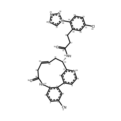 N#Cc1ccc2c(c1)-c1ccnc(c1)[C@@H](NC(=O)CCc1cc(Cl)ccc1-n1cnnn1)C/C=C/CC(=O)N2